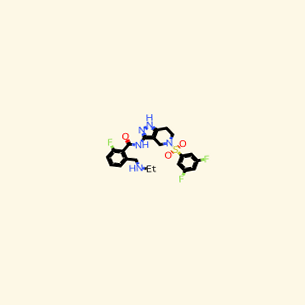 CCNCc1cccc(F)c1C(=O)Nc1n[nH]c2c1CN(S(=O)(=O)c1cc(F)cc(F)c1)CC2